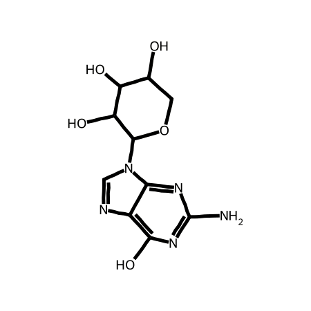 Nc1nc(O)c2ncn(C3OCC(O)C(O)C3O)c2n1